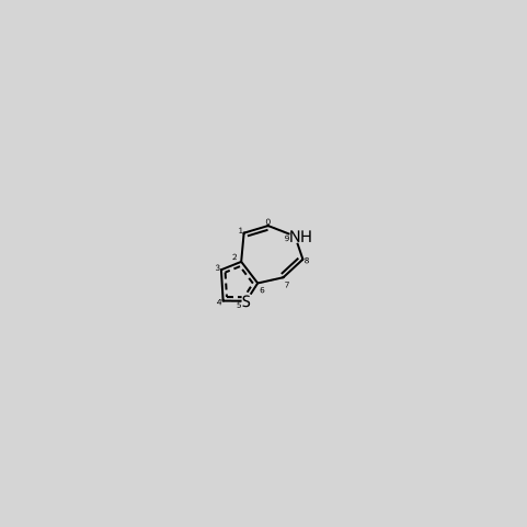 C1=Cc2ccsc2C=CN1